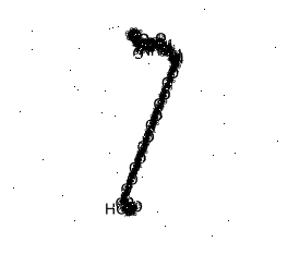 O=C(CCOCCOCCOCCOCCOCCOCCOCCOCCOCCOCCOCCOCCn1cc(-c2cnc(C(=O)N3CCC4(CC3)NC(=O)N(Cc3ccccc3)C4=O)nc2)nn1)ON1C(=O)CCC1O